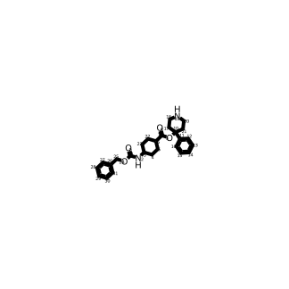 O=C(NC1CCC(C(=O)OC2(c3ccccc3)CCNCC2)CC1)OCc1ccccc1